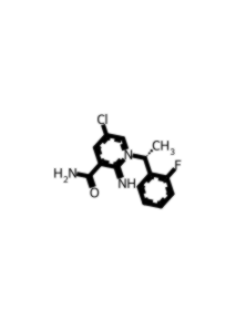 C[C@H](c1ccccc1F)n1cc(Cl)cc(C(N)=O)c1=N